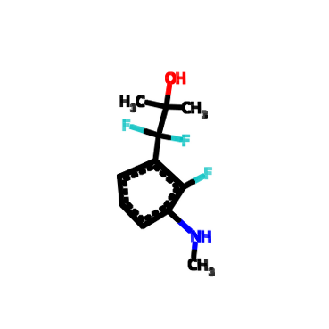 CNc1cccc(C(F)(F)C(C)(C)O)c1F